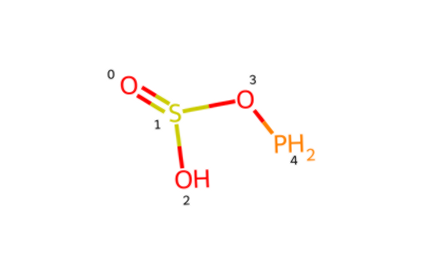 O=S(O)OP